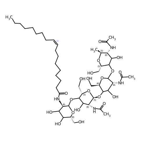 CCCCCCCC/C=C\CCCCCCCC(=O)N[C@H]1C(OC2C(O)[C@@H](NC(C)=O)[C@H](OC3C(O)[C@@H](NC(C)=O)C(OC4C(O)[C@@H](NC(C)=O)[C@H](C)O[C@H]4CO)O[C@@H]3CO)O[C@H]2CO)O[C@H](CO)C(O)C1O